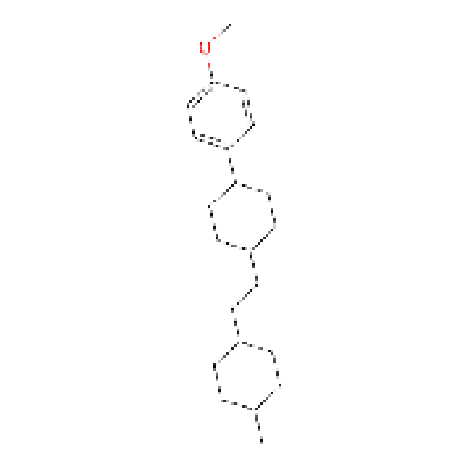 COc1ccc(C2CCC(CCC3CCC(C)CC3)CC2)cc1